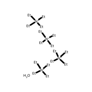 CC[N+](CC)(CC)CC.CC[N+](CC)(CC)CC.CC[N+](CC)(CC)CC.CC[N+](CC)(CC)CC.O